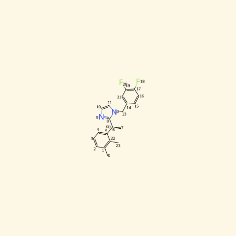 Cc1cccc([C@H](C)c2nccn2Cc2ccc(F)c(F)c2)c1C